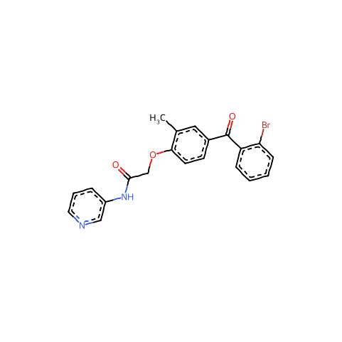 Cc1cc(C(=O)c2ccccc2Br)ccc1OCC(=O)Nc1cccnc1